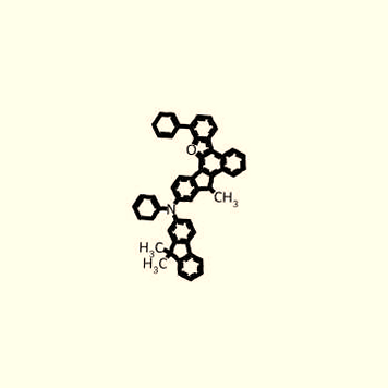 CC1c2cc(N(C3=CC=CCC3)c3ccc4c(c3)C(C)(C)c3ccccc3-4)ccc2-c2c1c1ccccc1c1c2oc2c(C3=CCCC=C3)cccc21